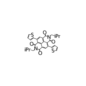 CC(C)CN1C(=O)c2cc(-c3cccs3)c3c4c(cc(-c5cccs5)c(c24)C1=O)C(=O)N(CC(C)C)C3=O